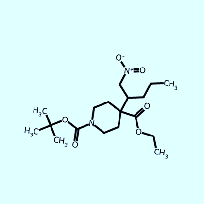 CCCC(C[N+](=O)[O-])C1(C(=O)OCC)CCN(C(=O)OC(C)(C)C)CC1